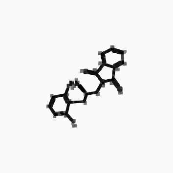 N[C@H](Cc1c(F)cccc1F)CN1C(=O)c2ccccc2C1=O